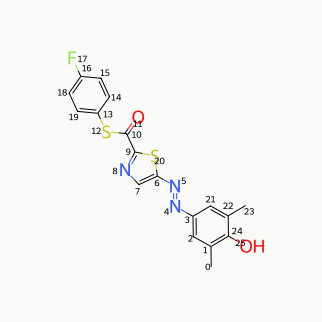 Cc1cc(/N=N/c2cnc(C(=O)Sc3ccc(F)cc3)s2)cc(C)c1O